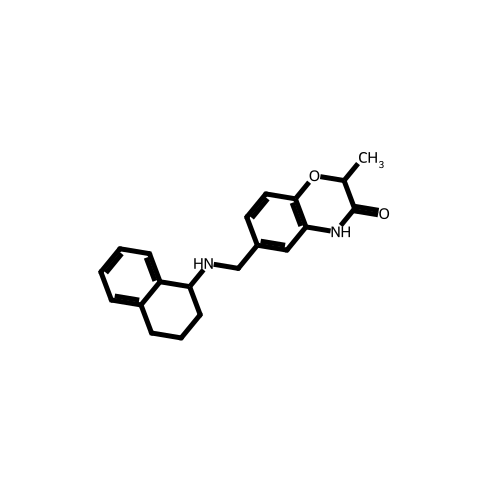 CC1Oc2ccc(CNC3CCCc4ccccc43)cc2NC1=O